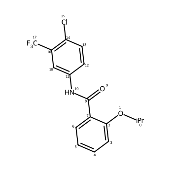 CC(C)Oc1ccccc1C(=O)Nc1ccc(Cl)c(C(F)(F)F)c1